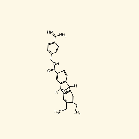 CCc1cc2c(cc1CC)[C@H]1O[C@@H]2c2ccc(C(=O)NCc3ccc(C(=N)N)cc3)cc21